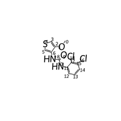 COc1cscc1NC(=O)Nc1cccc(Cl)c1Cl